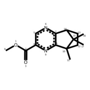 COC(=O)c1cnc2c(n1)C1(C)CCC2C1(C)C